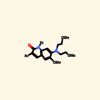 CCn1c(=O)c(C(C)=O)cc2cc(OC)c(N(CCOC)CCOC)cc21